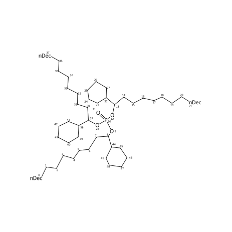 CCCCCCCCCCCCCCCCCC(OP(=O)(OC(CCCCCCCCCCCCCCCCC)C1CCCCC1)OC(CCCCCCCCCCCCCCCCC)C1CCCCC1)C1CCCCC1